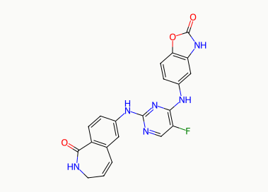 O=C1NCC=Cc2cc(Nc3ncc(F)c(Nc4ccc5oc(=O)[nH]c5c4)n3)ccc21